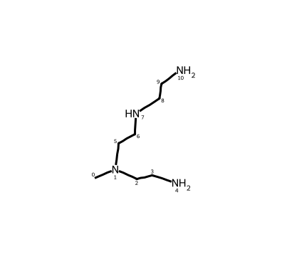 CN(CCN)CCNCCN